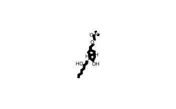 CCCCC[C@H](O)/C=C/[C@@H]1[C@H]2CC(=CCOCC(=O)N(C)C)C[C@H]2C[C@H]1O